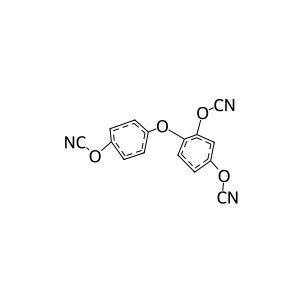 N#COc1ccc(Oc2ccc(OC#N)cc2OC#N)cc1